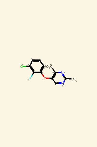 Cc1ncc(Oc2cccc(Cl)c2F)c(C(=O)O)n1